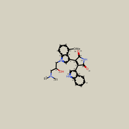 CCN(CC)CC(O)Cn1cc(C2=C(c3c[nH]c4ccccc34)C(=O)NC2=O)c2c(OC)cccc21